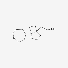 C1CCC[N]CC1.OCCC12CCC[N+]1CC2